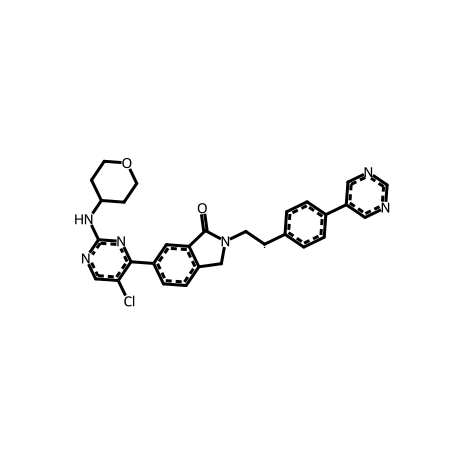 O=C1c2cc(-c3nc(NC4CCOCC4)ncc3Cl)ccc2CN1C[CH]c1ccc(-c2cncnc2)cc1